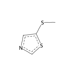 CSc1cncs1